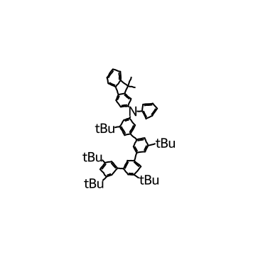 CC(C)(C)c1cc(-c2cc(-c3cc(C(C)(C)C)cc(C(C)(C)C)c3)cc(C(C)(C)C)c2)cc(-c2cc(N(c3ccccc3)c3ccc4c(c3)C(C)(C)c3ccccc3-4)cc(C(C)(C)C)c2)c1